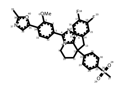 COc1cc(-c2nnc3n2CCCC3(Cc2ccc(F)c(F)c2)c2ccc(S(C)(=O)=O)cc2)ccc1-c1cnc(C)o1